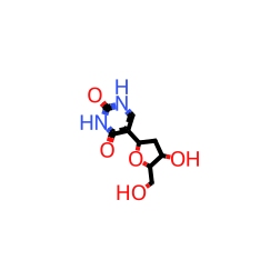 O=c1[nH]cc(C2CC(O)C(CO)O2)c(=O)[nH]1